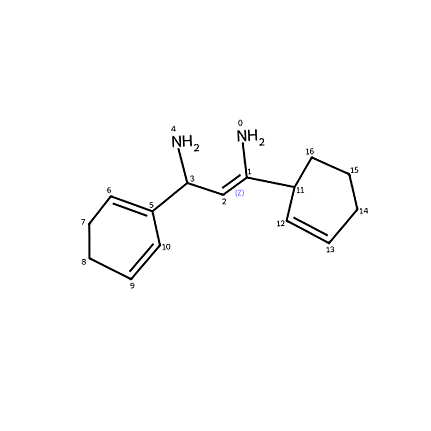 N/C(=C\C(N)C1=CCCC=C1)C1C=CCCC1